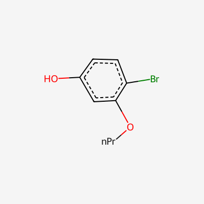 CCCOc1cc(O)ccc1Br